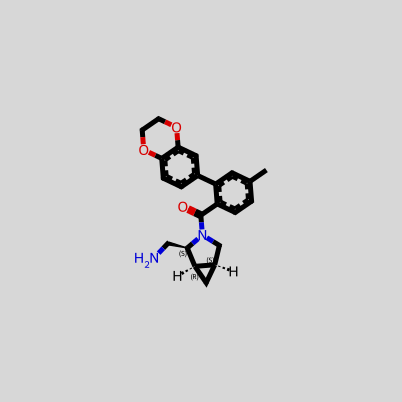 Cc1ccc(C(=O)N2C[C@H]3C[C@H]3[C@H]2CN)c(-c2ccc3c(c2)OCCO3)c1